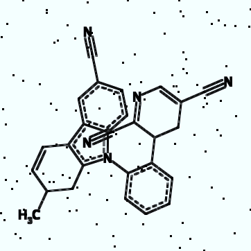 CC1C=Cc2c(n(-c3ccccc3C3CC(C#N)=CN=C3C#N)c3ccc(C#N)cc23)C1